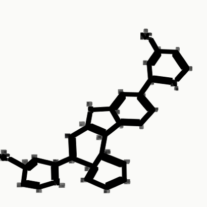 N#Cc1ccnc(-c2ccc3c(c2)sc2cc(-c4cc(C#N)ccn4)c4ccccc4c23)c1